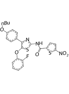 CCCCOc1ccc(-c2nc(NC(=O)c3ccc([N+](=O)[O-])s3)sc2Oc2ccccc2F)cc1